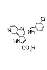 O=C(O)c1cc2c(NCc3cccc(Cl)c3)nc3ccncc3c2[nH]1